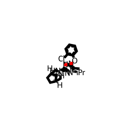 Cc1nsc(N2C[C@H]3CC[C@@H](C2)[C@H]3Nc2nc(Oc3ccccc3Cl)n(C(C)C)n2)n1